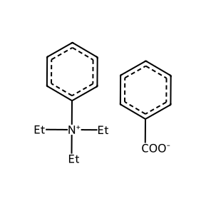 CC[N+](CC)(CC)c1ccccc1.O=C([O-])c1ccccc1